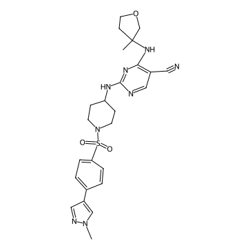 Cn1cc(-c2ccc(S(=O)(=O)N3CCC(Nc4ncc(C#N)c(NC5(C)CCOC5)n4)CC3)cc2)cn1